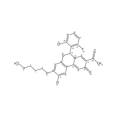 COCCCOc1cc2c(cc1Cl)-c1cc(=O)c(C(C)=O)cn1C(c1c(F)cccc1Cl)O2